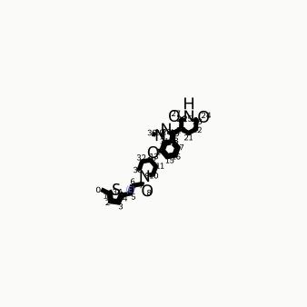 Cc1ccc(/C=C/C(=O)N2CCC(Oc3cccc4c(C5CCC(=O)NC5=O)nn(C)c34)CC2)s1